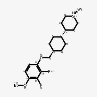 CCC[SiH]1CCC([C@H]2CC[C@H](COc3ccc(OCC)c(F)c3F)CC2)CC1